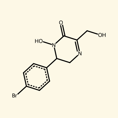 O=C1C(CO)=NCC(c2ccc(Br)cc2)N1O